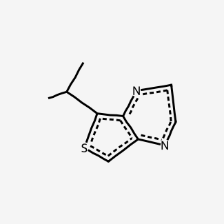 CC(C)c1scc2nccnc12